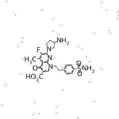 Cc1c(F)c(N2CCC(N)C2)nc2c1c(=O)c(C(=O)O)cn2CCc1ccc(S(N)(=O)=O)cc1